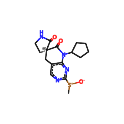 C[S+]([O-])c1ncc2c(n1)N(C1CCCC1)C(=O)[C@@]1(CCNC1=O)C2